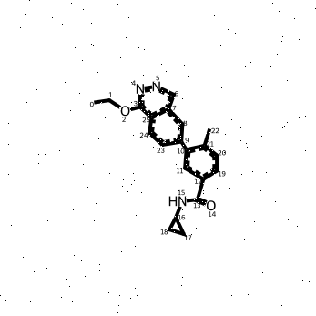 CCOc1nncc2cc(-c3cc(C(=O)NC4CC4)ccc3C)ccc12